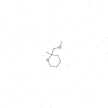 COCC1(C)CCCCO1